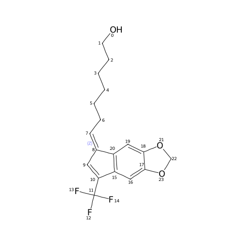 OCCCCCC/C=C1/C=C(C(F)(F)F)c2cc3c(cc21)OCO3